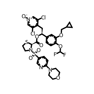 O=C(O[C@@H](Cc1c(Cl)c[n+]([O-])cc1Cl)c1ccc(OC(F)F)c(OCC2CC2)c1)[C@@H]1SCCN1S(=O)(=O)c1ccc(N2CCOCC2)nc1